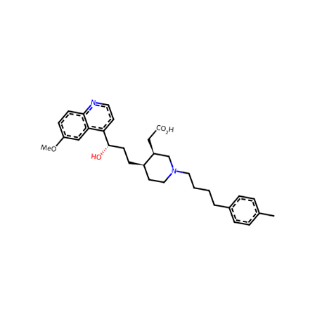 COc1ccc2nccc([C@@H](O)CC[C@@H]3CCN(CCCCc4ccc(C)cc4)C[C@@H]3CC(=O)O)c2c1